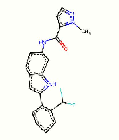 Cn1nccc1C(=O)Nc1ccc2cc(-c3ccccc3C(F)F)[nH]c2c1